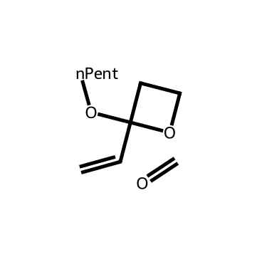 C=CC1(OCCCCC)CCO1.C=O